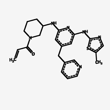 C=CC(=O)N1CCCC(Nc2cc(Cc3cccnc3)cc(Nc3ncc(C)s3)n2)C1